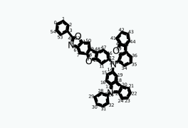 c1ccc(-c2nc3cc4oc5cc(N(c6ccc7c(c6)c6ccccc6n7-c6ccccc6)c6cccc7c6oc6ccccc67)ccc5c4cc3o2)cc1